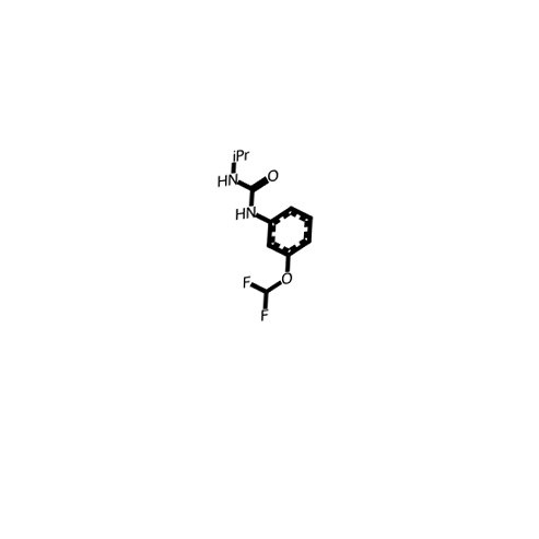 CC(C)NC(=O)Nc1cccc(OC(F)F)c1